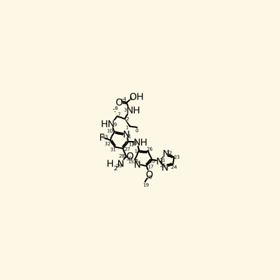 CC[C@H](NC(=O)O)[C@@H](C)Nc1nc(Nc2cnc(OC)c(-n3nccn3)c2)c(C(N)=O)cc1F